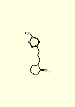 C=C1COCCN1CCCc1ccc(N)nc1